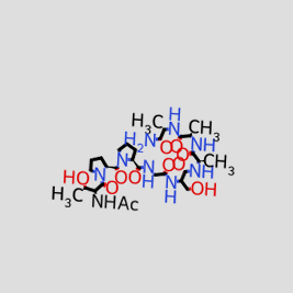 CC(=O)N[C@H](C(=O)N1CCC[C@H]1C(=O)N1CCC[C@H]1C(=O)NCC(=O)NC(CO)C(=O)N[C@@H](C)C(=O)N[C@@H](C)C(=O)N[C@@H](C)C(N)=O)[C@H](C)O